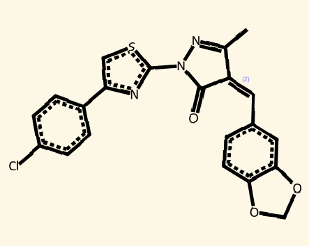 CC1=NN(c2nc(-c3ccc(Cl)cc3)cs2)C(=O)/C1=C\c1ccc2c(c1)OCO2